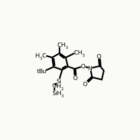 Cc1c(C)c(C(=O)ON2C(=O)CCC2=O)c([SiH2]O[SiH3])c(C(C)(C)C)c1C